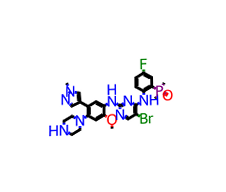 COc1cc(N2CCNCC2)c(-c2cnn(C)c2)cc1Nc1ncc(Br)c(Nc2ccc(F)cc2P(C)(C)=O)n1